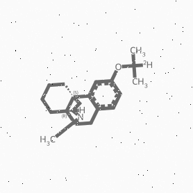 [2H]C(C)(C)Oc1ccc2c(c1)[C@]13CCCC[C@H]1C(C2)N(C)CC3